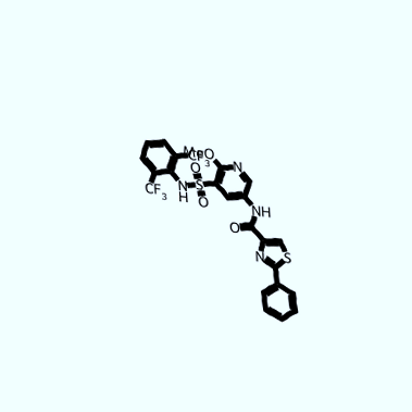 COc1ncc(NC(=O)c2csc(-c3ccccc3)n2)cc1S(=O)(=O)Nc1c(C(F)(F)F)cccc1C(F)(F)F